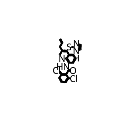 C=CCc1cnc2c(NC(=O)c3c(Cl)cccc3Cl)cccc2c1Sc1ncc[nH]1